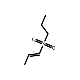 C/C=C/S(=O)(=O)CCC